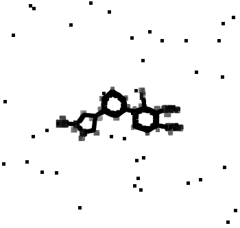 COc1ccc(-c2cccc([C@H]3COB(O)C3)c2)c(F)c1OC